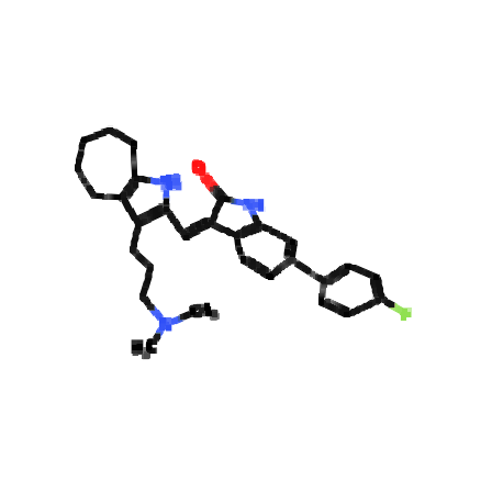 CN(C)CCCc1c(/C=C2\C(=O)Nc3cc(-c4ccc(F)cc4)ccc32)[nH]c2c1CCCCC2